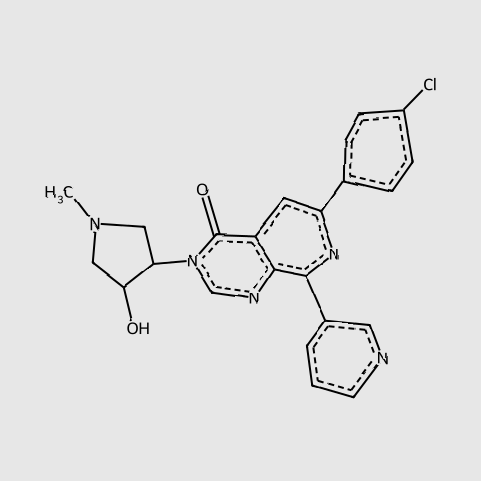 CN1CC(O)C(n2cnc3c(-c4cccnc4)nc(-c4ccc(Cl)cc4)cc3c2=O)C1